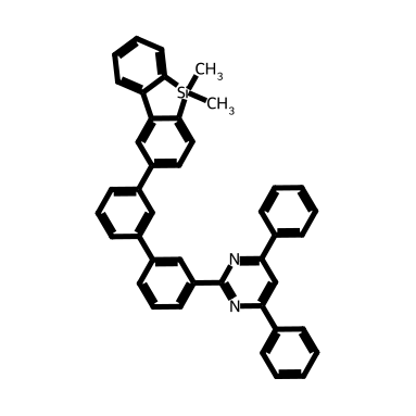 C[Si]1(C)c2ccccc2-c2cc(-c3cccc(-c4cccc(-c5nc(-c6ccccc6)cc(-c6ccccc6)n5)c4)c3)ccc21